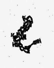 Cc1cc(Oc2c(F)cccc2F)ncc1-n1ncc(C(=O)c2cc3c4c(ccc3[nH]2)CCCN4CC2CNC2)c1N